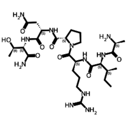 CC[C@H](C)[C@H](NC(=O)[C@H](C)N)C(=O)N[C@@H](CCCNC(=N)N)C(=O)N1CCC[C@H]1C(=O)N[C@@H](CC(N)=O)C(=O)N[C@H](C(N)=O)[C@@H](C)O